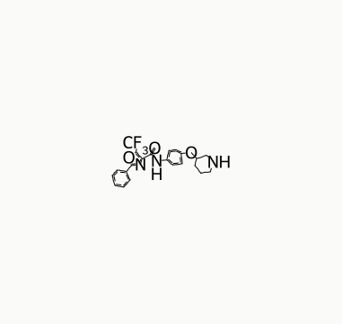 O=C(Nc1ccc(OC2CCCNC2)cc1)c1nc(-c2ccccc2)oc1C(F)(F)F